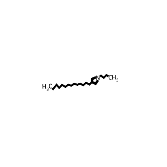 CCCCCCCCCCCCCCc1cc[n+](CCCC)cc1